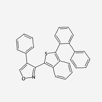 c1ccc(-c2ccccc2-c2sc(-c3nocc3-c3ccccc3)c3ccccc23)cc1